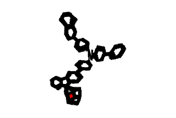 c1ccc(-c2ccc(N(c3ccc(-c4ccc5c(c4)-c4ccccc4C54C5CC6CC7CC4(C6)C7C5)cc3)c3ccc(-c4ccc5ccccc5c4)cc3)cc2)cc1